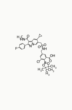 CNC(=O)c1c(-c2ccc(F)cc2)nn2cc(CS(=O)(=O)NCc3cc(Cl)c(B4OC(C)(C)C(C)(C)O4)c(C(=O)O)c3)c(C3CC3)cc12